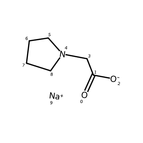 O=C([O-])CN1CCCC1.[Na+]